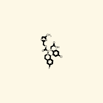 Cc1csc(COC(=O)ON2CCc3cc(F)ccc3[C@H]2c2cc(Cl)ccc2OCC(=O)O)n1